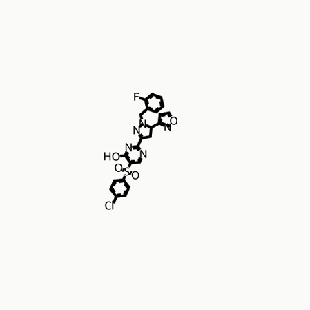 O=S(=O)(c1ccc(Cl)cc1)c1cnc(C2=NN(Cc3ccccc3F)C(c3ccon3)C2)nc1O